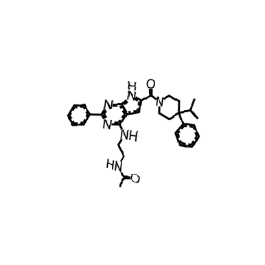 CC(=O)NCCNc1nc(-c2ccccc2)nc2[nH]c(C(=O)N3CCC(c4ccccc4)(C(C)C)CC3)cc12